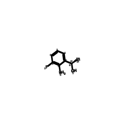 Bc1c(F)cccc1[C@H](O)CC